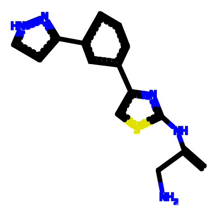 C=C(CN)Nc1nc(-c2cccc(-c3cc[nH]n3)c2)cs1